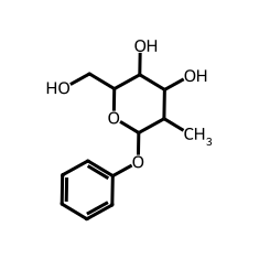 CC1C(Oc2ccccc2)OC(CO)C(O)C1O